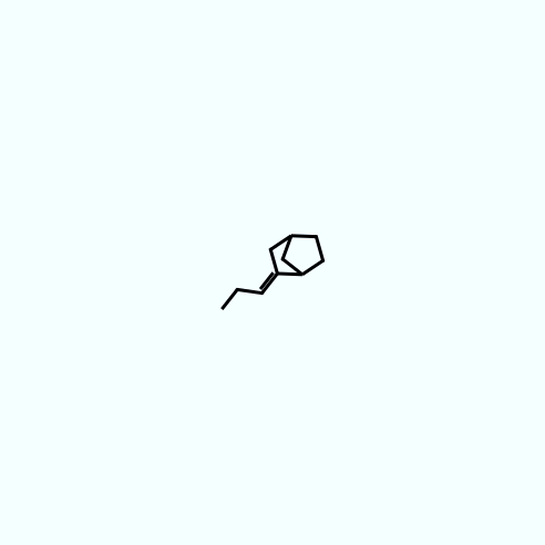 CCC=C1CC2CCC1C2